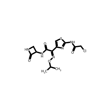 CC(C)ON=C(C(=O)NC1CNC1=O)c1csc(NC(=O)CCl)n1